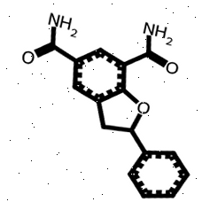 NC(=O)c1cc2c(c(C(N)=O)c1)OC(c1ccccc1)C2